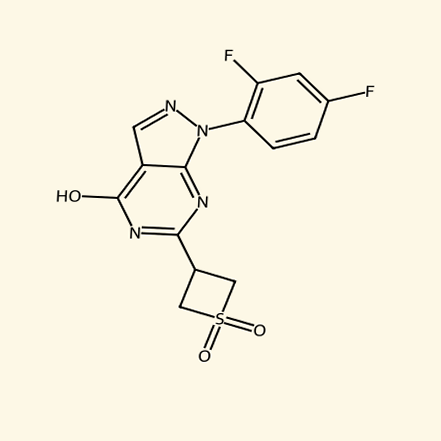 O=S1(=O)CC(c2nc(O)c3cnn(-c4ccc(F)cc4F)c3n2)C1